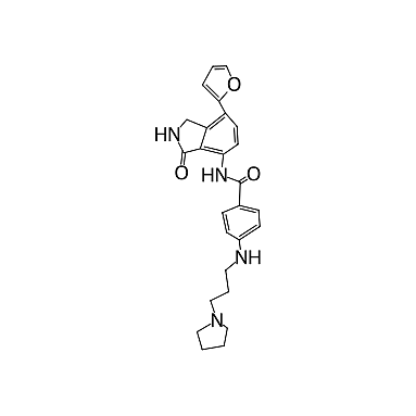 O=C(Nc1ccc(-c2ccco2)c2c1C(=O)NC2)c1ccc(NCCCN2CCCC2)cc1